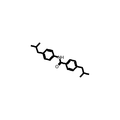 CC(C)Cc1ccc(NC(=O)c2ccc(CC(C)C)cc2)cc1